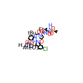 CC[C@@H]1C[C@]1(NC(=O)[C@@H]1C[C@@H](Oc2ncc(OC)c3ccc(Cl)cc23)CN1C(=O)C(Nc1cccc(S(=O)(=O)N(C)C)c1)C(C)(C)C)C(=O)NS(=O)(=O)C1CC1